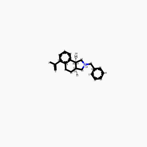 C=C(C)c1cccc2c1CC[C@]1(C)CN(Cc3ccccc3)C[C@H]21